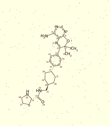 CC1(C)Oc2ncnc(N)c2N=C1c1ccc([C@H]2CC[C@H](CNC(=O)[C@@H]3CCCN3)CC2)cc1